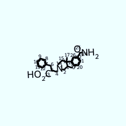 CC1CN(CC(Cc2ccccc2)C(=O)O)CCC1(C)c1cccc(C(N)=O)c1